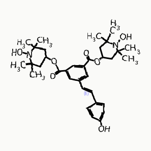 CC1(C)CC(OC(=O)c2cc(/C=C/c3ccc(O)cc3)cc(C(=O)OC3CC(C)(C)N(O)C(C)(C)C3)c2)CC(C)(C)N1O